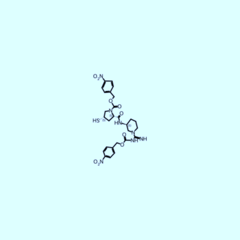 N=C(NC(=O)OCc1ccc([N+](=O)[O-])cc1)N1CCC[C@H](NC(=O)[C@@H]2C[C@H](S)CN2C(=O)OCc2ccc([N+](=O)[O-])cc2)C1